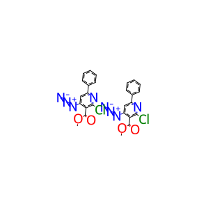 COC(=O)c1c(N=[N+]=[N-])cc(-c2ccccc2)nc1Cl.COC(=O)c1c(N=[N+]=[N-])cc(-c2ccccc2)nc1Cl